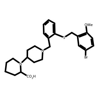 COc1ccc(Br)cc1CSc1ccccc1CN1CCC(N2CCCCC2C(=O)O)CC1